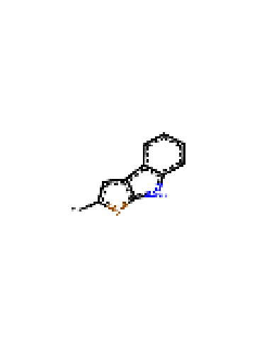 CCc1cc2c([nH]c3ccccc32)s1